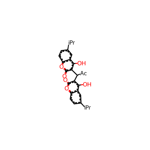 CC(=O)C(c1c(O)c2cc(C(C)C)ccc2oc1=O)c1c(O)c2cc(C(C)C)ccc2oc1=O